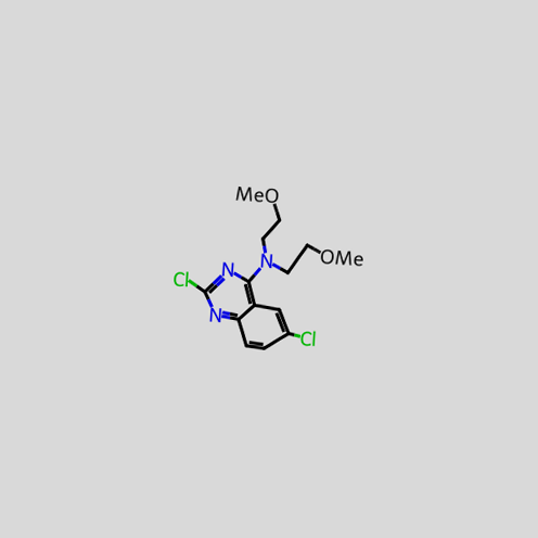 COCCN(CCOC)c1nc(Cl)nc2ccc(Cl)cc12